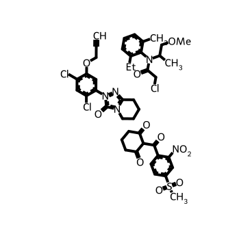 C#CCOc1cc(-n2nc3n(c2=O)CCCC3)c(Cl)cc1Cl.CCc1cccc(C)c1N(C(=O)CCl)C(C)COC.CS(=O)(=O)c1ccc(C(=O)C2C(=O)CCCC2=O)c([N+](=O)[O-])c1